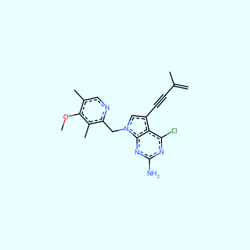 C=C(C)C#Cc1cn(Cc2ncc(C)c(OC)c2C)c2nc(N)nc(Cl)c12